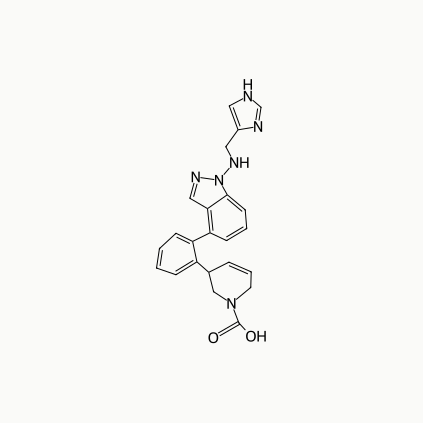 O=C(O)N1CC=CC(c2ccccc2-c2cccc3c2cnn3NCc2c[nH]cn2)C1